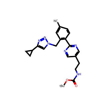 CC(C)(C)OC(=O)NCCc1cnc(-c2ccc(C#N)cc2Cn2cc(C3CC3)nn2)nc1